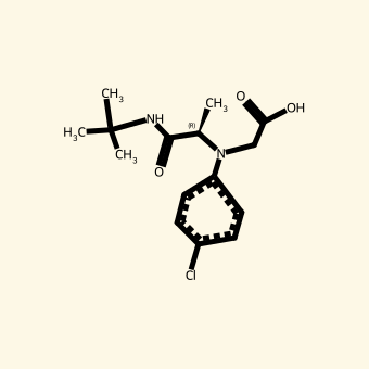 C[C@H](C(=O)NC(C)(C)C)N(CC(=O)O)c1ccc(Cl)cc1